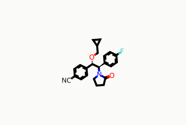 N#Cc1ccc([C@H](OCC2CC2)[C@@H](c2ccc(F)cc2)N2CCCC2=O)cc1